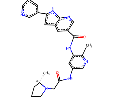 Cc1ncc(NC(=O)CN2CCC[C@@H]2C)cc1NC(=O)c1cnc2[nH]c(-c3cccnc3)cc2c1